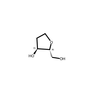 OC[C@H]1OC[CH][C@@H]1O